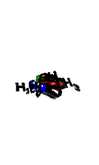 COc1cccc2c1C(c1ccccc1)=C1C(=CC(N(C)C)=CC1(Br)OC)N2c1ccccc1